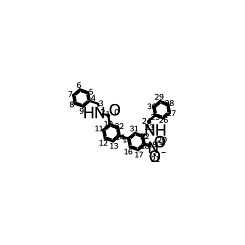 O=C(NCc1ccccc1)c1cccc(-c2ccc([N+](=O)[O-])c(NCc3ccccc3)c2)c1